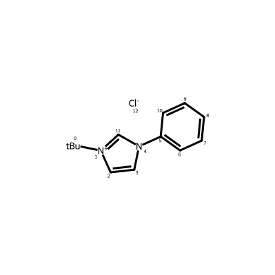 CC(C)(C)[n+]1ccn(-c2ccccc2)c1.[Cl-]